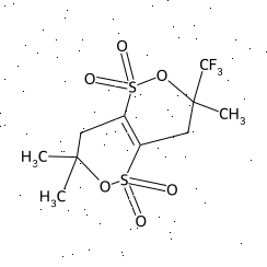 CC1(C)CC2=C(CC(C)(C(F)(F)F)OS2(=O)=O)S(=O)(=O)O1